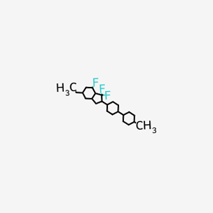 CCC1CC(F)C2C(C1)CC(C1CCC(C3CCC(C)CC3)CC1)C2(F)F